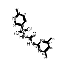 [CH2]c1ccc(S(=O)(=O)NC(=O)Nc2nc(C)cc(C)n2)cn1